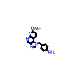 COc1ccc2c(ncc3ncn(Cc4ccc(N)cc4)c32)n1